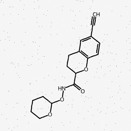 C#Cc1ccc2c(c1)CCC(C(=O)NOC1CCCCO1)O2